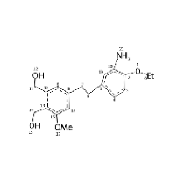 CCOc1ccc(CCc2cc(CO)c(CO)c(OC)c2)cc1N